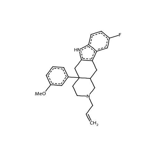 C=CCN1CCC2(c3cccc(OC)c3)Cc3[nH]c4ccc(F)cc4c3CC2C1